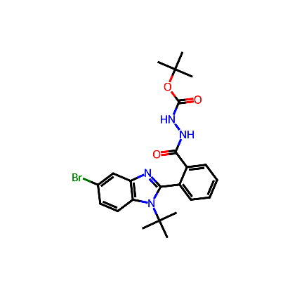 CC(C)(C)OC(=O)NNC(=O)c1ccccc1-c1nc2cc(Br)ccc2n1C(C)(C)C